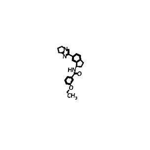 CCOc1cccc(C(=O)NC2CCc3ccc(-c4cn5c(n4)CCC5)cc32)c1